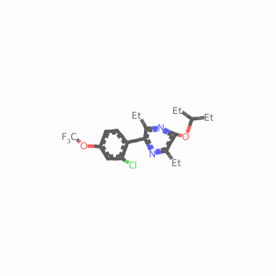 CCc1nc(-c2ccc(OC(F)(F)F)cc2Cl)c(CC)nc1OC(CC)CC